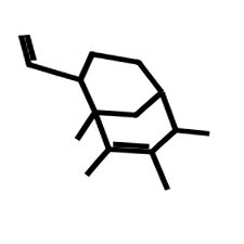 C=CC1CCC2CC1(C)C(C)=C(C)C2C